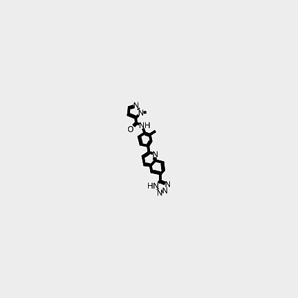 Cc1cc(-c2ccc3cc(-c4nnn[nH]4)ccc3n2)ccc1NC(=O)c1ccnn1C